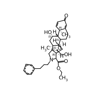 CCOC(=O)C1[C@@H]2C[C@H]3[C@@H]4CCC5=CC(=O)C=C[C@]5(C)[C@H]4[C@@H](O)C[C@]3(C)[C@]2(C(=O)CO)CN1CCCc1ccccc1